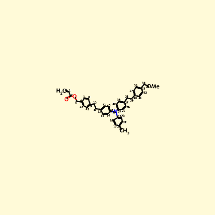 C=CC(=O)OCc1ccc(CCc2ccc(N(c3ccc(C)cc3)c3ccc(CCc4ccc(COC)cc4)cc3)cc2)cc1